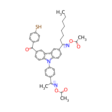 CCCCCCC/C(=N\OC(C)=O)c1ccc2c(c1)c1cc(C(=O)c3ccc(S)cc3)ccc1n2-c1ccc(/C(C)=N/OC(C)=O)cc1